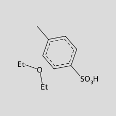 CCOCC.Cc1ccc(S(=O)(=O)O)cc1